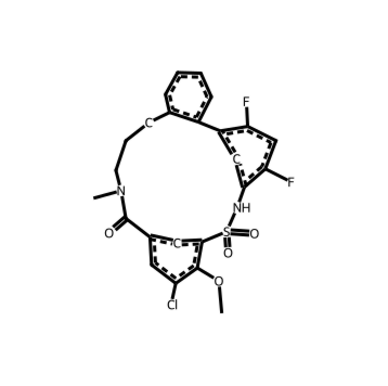 COc1c(Cl)cc2cc1S(=O)(=O)Nc1cc(c(F)cc1F)-c1ccccc1CCCN(C)C2=O